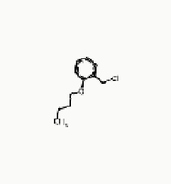 CCCCOc1ccccc1CCl